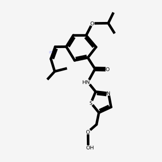 CC(C)/C=C\c1cc(OC(C)C)cc(C(=O)Nc2ncc(COO)s2)c1